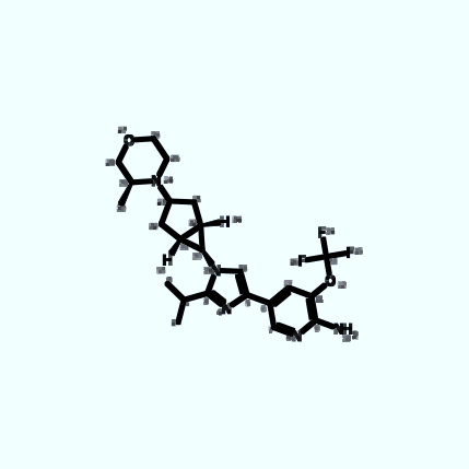 CC(C)c1nc(-c2cnc(N)c(OC(F)(F)F)c2)cn1[C@H]1[C@@H]2CC(N3CCOC[C@@H]3C)C[C@@H]21